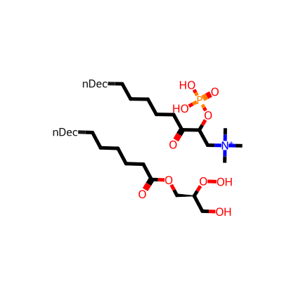 CCCCCCCCCCCCCCCC(=O)C(C[N+](C)(C)C)OP(=O)(O)O.CCCCCCCCCCCCCCCC(=O)OC[C@H](CO)OO